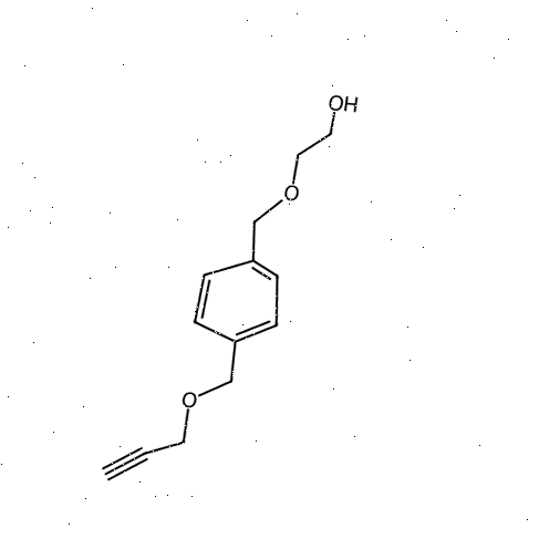 C#CCOCc1ccc(COCCO)cc1